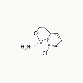 NC[C@@H]1OCCc2cccc(Cl)c21